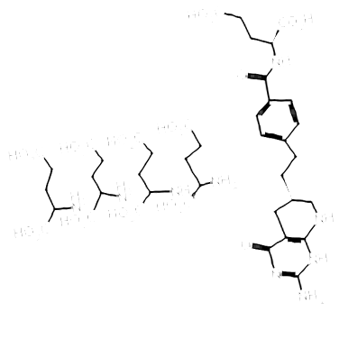 NC(CCC(=O)O)C(=O)O.NC(CCC(=O)O)C(=O)O.NC(CCC(=O)O)C(=O)O.NC(CCC(=O)O)C(=O)O.Nc1nc(=O)c2c([nH]1)NC[C@H](CCc1ccc(C(=O)N[C@@H](CCC(=O)O)C(=O)O)cc1)C2